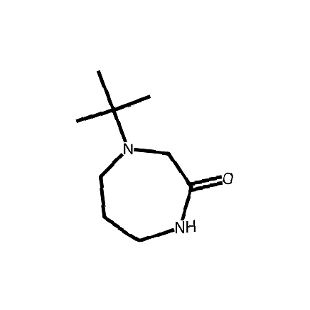 CC(C)(C)N1CCCNC(=O)C1